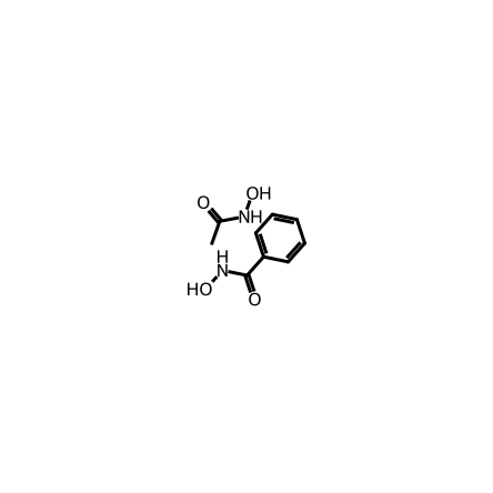 CC(=O)NO.O=C(NO)c1ccccc1